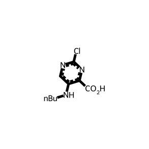 CCCCNc1cnc(Cl)nc1C(=O)O